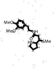 COc1ccc(CCNC(=O)CC(SC)C2CCCN2)cc1OC